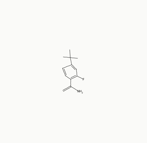 C=C(N)c1ccc(C(C)(C)C)cc1F